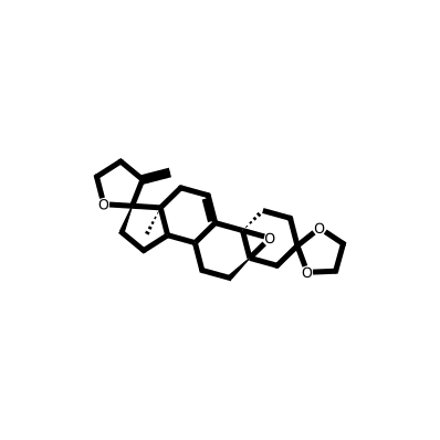 C=C1CCO[C@]12CCC1C3CC[C@@]45CC6(CC[C@@]4(O5)C3=CC[C@@]12C)OCCO6